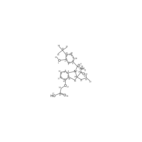 COc1cc(C(=O)N2c3cccc(OCC(=O)O)c3CC2(CC(C)C)C(N)=O)ccc1C(C)(C)C